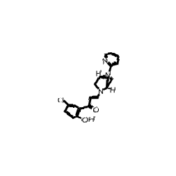 O=C(/C=C/N1C[C@H]2C[C@@H]1CN2c1ccccn1)c1cc(Cl)ccc1O